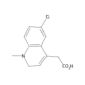 CN1CC=C(CC(=O)O)c2cc(Cl)ccc21